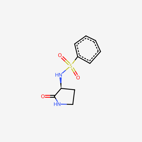 O=C1NCC[C@@H]1NS(=O)(=O)c1ccccc1